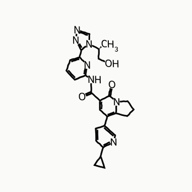 C[C@H](CO)n1cnnc1-c1cccc(NC(=O)c2cc(-c3ccc(C4CC4)nc3)c3n(c2=O)CCC3)n1